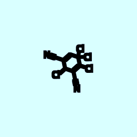 N#CC1=CC(Cl)(Cl)C(Cl)=C(C#N)C1Cl